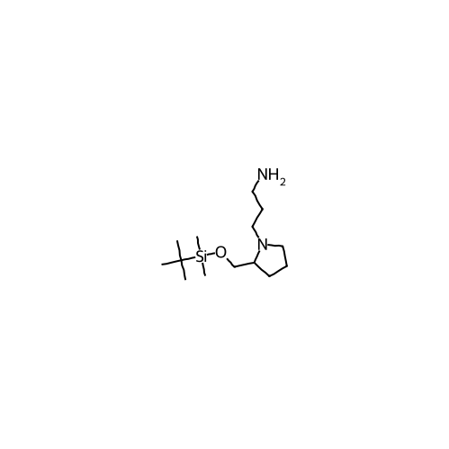 CC(C)(C)[Si](C)(C)OCC1CCCN1CCCN